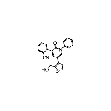 N#Cc1ccccc1-c1cc(-c2ccsc2CO)cn(-c2ccccc2)c1=O